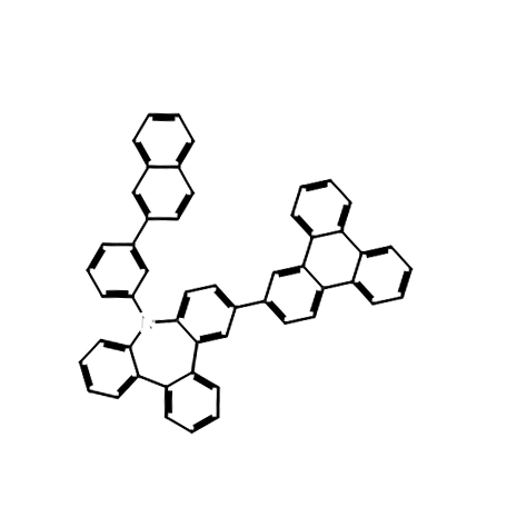 c1cc(-c2ccc3ccccc3c2)cc(N2c3ccccc3-c3ccccc3-c3cc(-c4ccc5c6ccccc6c6ccccc6c5c4)ccc32)c1